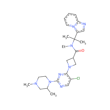 CCN(C(=O)C1CN(c2nc(N3CCN(C)CC3C)ncc2Cl)C1)C(C)(C)c1cnc2ccccn12